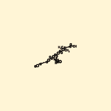 C#CC(=O)OCCCCOc1c(C)cc(C(=O)Oc2ccc(C(=O)Oc3ccc(OC(=O)c4ccc(OCCCCCOCC5CCC6OC6C5)cc4)c(SC(=S)Nc4nc5ccccc5s4)c3)cc2)cc1C